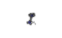 Cc1ccccc1N(c1ccccc1)c1ccc(/C=C/c2ccc(N(c3cccc4ccccc34)c3cccc4ccccc34)cc2)cc1